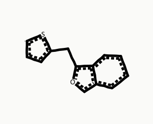 [c]1ccc(Cc2occ3ccccc23)s1